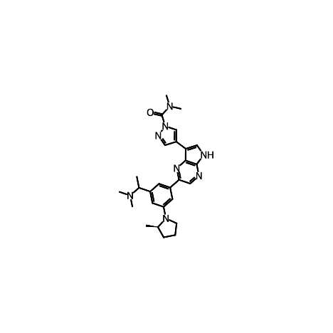 CC(c1cc(-c2cnc3[nH]cc(-c4cnn(C(=O)N(C)C)c4)c3n2)cc(N2CCC[C@H]2C)c1)N(C)C